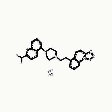 Cl.Cl.FC(F)c1ccc2c(N3CCN(CCc4cccc5c4ccc4nnnn45)CC3)cccc2n1